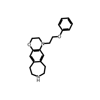 c1ccc(OCCN2CCOc3cc4c(cc32)CCNCC4)cc1